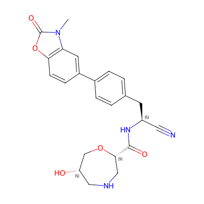 Cn1c(=O)oc2ccc(-c3ccc(C[C@@H](C#N)NC(=O)[C@@H]4CNC[C@H](O)CO4)cc3)cc21